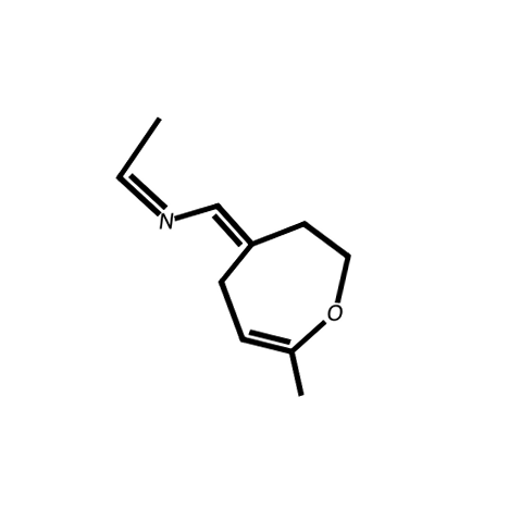 C/C=N\C=C1/CC=C(C)OCC1